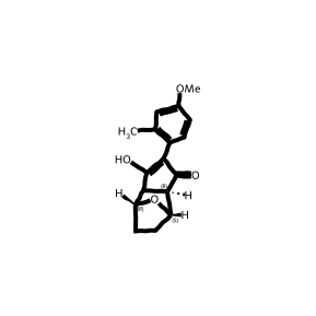 COc1ccc(C2=C(O)C3[C@@H](C2=O)[C@@H]2CC[C@H]3O2)c(C)c1